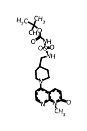 Cn1c(=O)ccc2c(N3CCC(CNS(=O)(=O)NC(=O)OC(C)(C)C)CC3)ccnc21